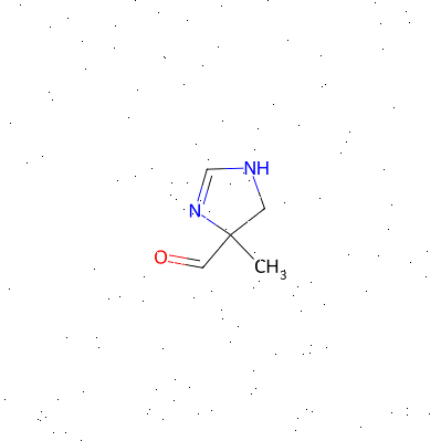 CC1(C=O)CNC=N1